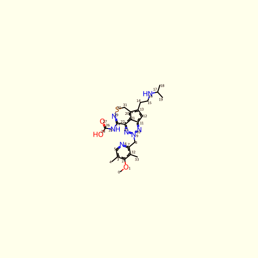 COc1c(C)cnc(Cn2nc3cc(CCNC(C)C)c4c-3c(n2)C(NC(=O)O)=NSC4)c1C